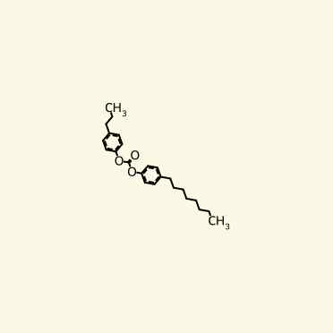 CCCCCCCCc1ccc(OC(=O)Oc2ccc(CCC)cc2)cc1